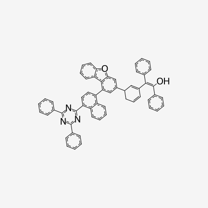 O/C(=C(/C1=CC(c2cc(-c3ccc(-c4nc(-c5ccccc5)nc(-c5ccccc5)n4)c4ccccc34)c3c(c2)oc2ccccc23)CC=C1)c1ccccc1)c1ccccc1